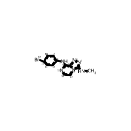 CNc1nnc2c(Nc3ccc(Br)cc3)nccn12